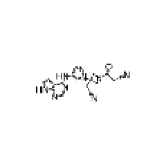 N#CCC(=O)N1CC(CC#N)(n2cc(Nc3ncnc4[nH]ccc34)cn2)C1